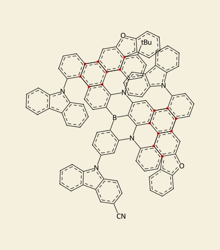 CC(C)(C)c1ccc(N2c3cc(-c4c(-c5ccc6c(c5)oc5ccccc56)cccc4-n4c5ccccc5c5ccccc54)ccc3B3c4ccc(-n5c6ccccc6c6cc(C#N)ccc65)cc4N(c4ccccc4-c4ccccc4)c4cc(-c5c(-c6ccc7c(c6)oc6ccccc67)cccc5-n5c6ccccc6c6ccccc65)cc2c43)c(-c2ccccc2)c1